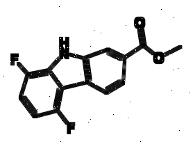 COC(=O)c1ccc2c(c1)[nH]c1c(F)ccc(F)c12